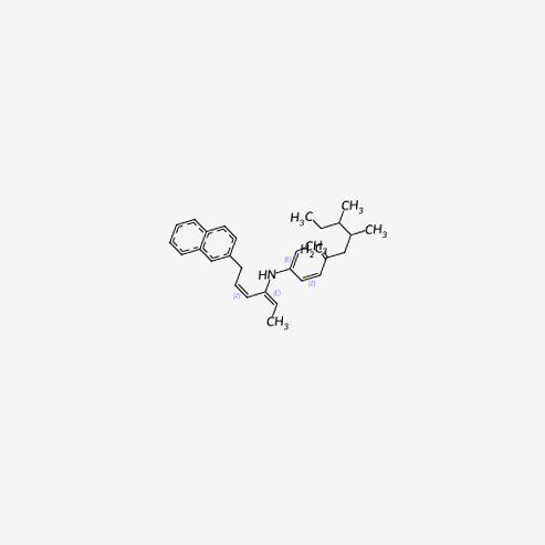 C=C(/C=C\C(=C/C)NC(/C=C\Cc1ccc2ccccc2c1)=C/C)CC(C)C(C)CC